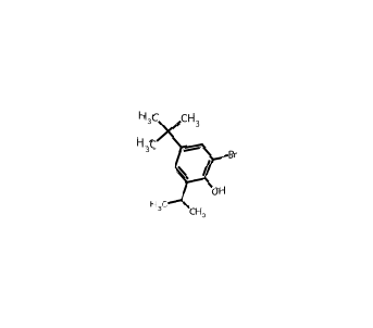 CC(C)c1cc(C(C)(C)C)cc(Br)c1O